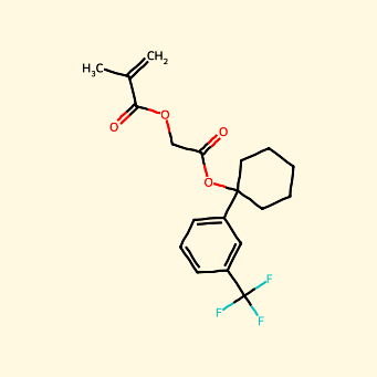 C=C(C)C(=O)OCC(=O)OC1(c2cccc(C(F)(F)F)c2)CCCCC1